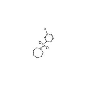 O=S(=O)(c1cccc(F)c1)N1CCCCCC1